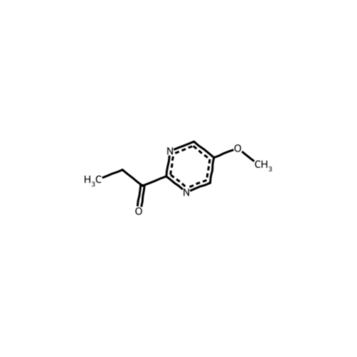 CCC(=O)c1ncc(OC)cn1